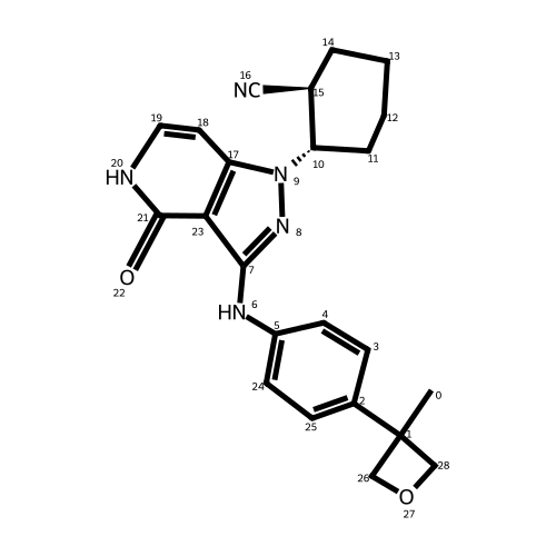 CC1(c2ccc(Nc3nn([C@H]4CCCC[C@@H]4C#N)c4cc[nH]c(=O)c34)cc2)COC1